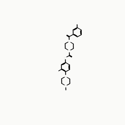 CN1CCN(c2ccc(NC(=O)N3CCN(C(=O)c4cccc(F)c4)CC3)cc2F)CC1